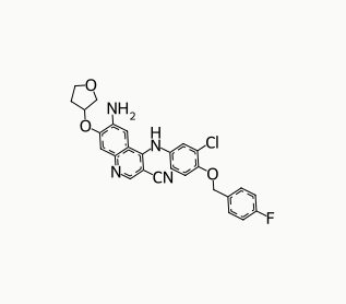 N#Cc1cnc2cc(OC3CCOC3)c(N)cc2c1Nc1ccc(OCc2ccc(F)cc2)c(Cl)c1